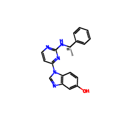 C[C@H](Nc1nccc(-n2cnc3cc(O)ccc32)n1)c1ccccc1